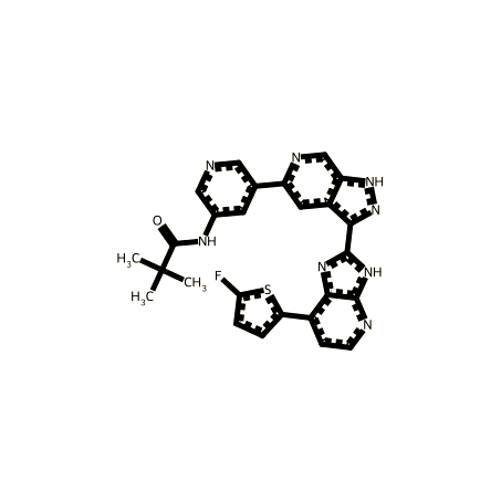 CC(C)(C)C(=O)Nc1cncc(-c2cc3c(-c4nc5c(-c6ccc(F)s6)ccnc5[nH]4)n[nH]c3cn2)c1